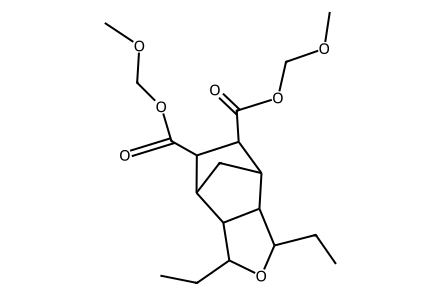 CCC1OC(CC)C2C3CC(C(C(=O)OCOC)C3C(=O)OCOC)C12